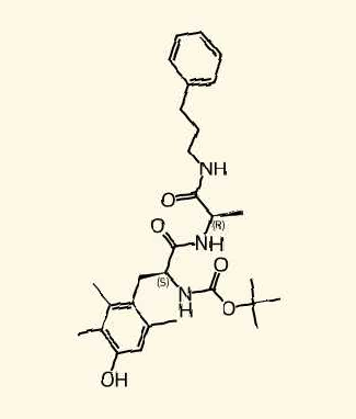 Cc1cc(O)c(C)c(C)c1C[C@H](NC(=O)OC(C)(C)C)C(=O)N[C@H](C)C(=O)NCCCc1ccccc1